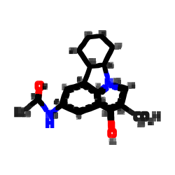 CCC(=O)Nc1cc2c3c(c1)c(=O)c(C(=O)O)cn3C1CCCCC21